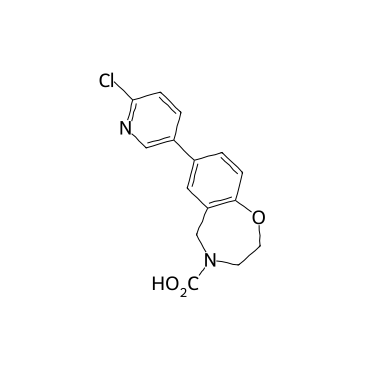 O=C(O)N1CCOc2ccc(-c3ccc(Cl)nc3)cc2C1